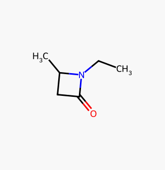 CCN1C(=O)CC1C